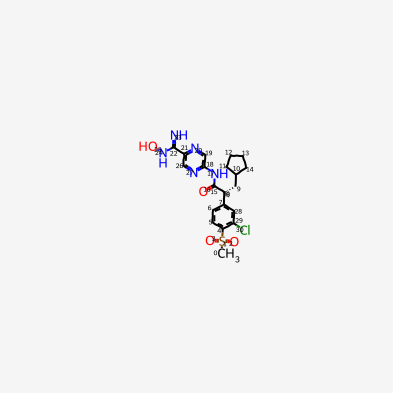 CS(=O)(=O)c1ccc([C@@H](CC2CCCC2)C(=O)Nc2cnc(C(=N)NO)cn2)cc1Cl